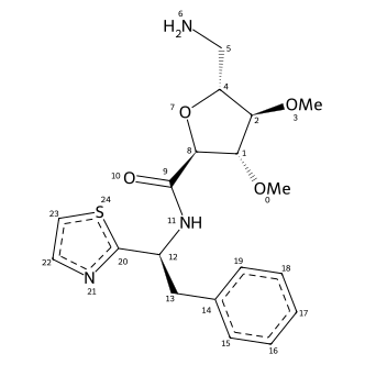 CO[C@H]1[C@H](OC)[C@@H](CN)O[C@@H]1C(=O)N[C@@H](Cc1ccccc1)c1nccs1